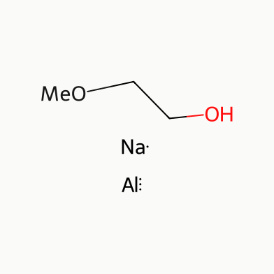 COCCO.[Al].[Na]